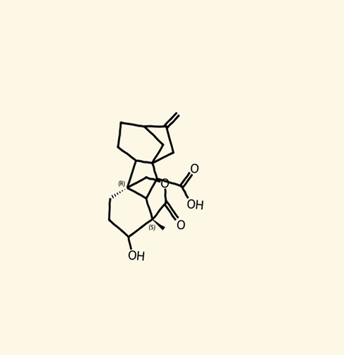 C=C1CC23CC1CCC2[C@@]12CCC(O)[C@@](C)(C(=O)OC1)C2C3C(=O)O